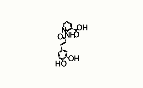 O=C(C=Cc1ccc(O)c(O)c1)Nc1ncccc1C(=O)O